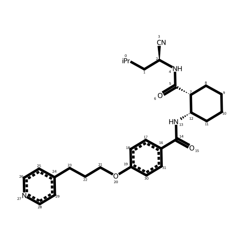 CC(C)C[C@@H](C#N)NC(=O)[C@@H]1CCCC[C@@H]1NC(=O)c1ccc(OCCCc2ccncc2)cc1